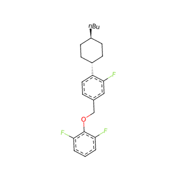 CCCC[C@H]1CC[C@H](c2ccc(COc3c(F)cccc3F)cc2F)CC1